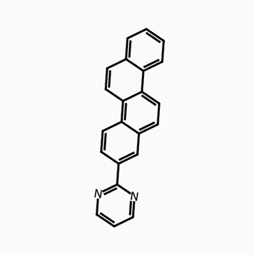 c1cnc(-c2ccc3c(ccc4c5ccccc5ccc34)c2)nc1